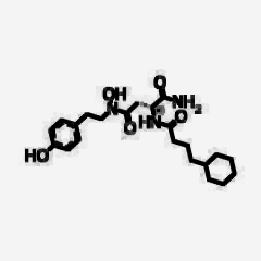 NC(=O)[C@@H](CC(=O)N(O)CCc1ccc(O)cc1)NC(=O)CCCC1CCCCC1